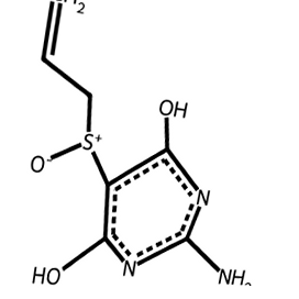 C=CC[S+]([O-])c1c(O)nc(N)nc1O